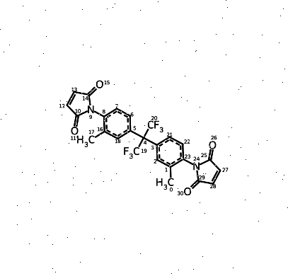 Cc1cc(C(c2ccc(N3C(=O)C=CC3=O)c(C)c2)(C(F)(F)F)C(F)(F)F)ccc1N1C(=O)C=CC1=O